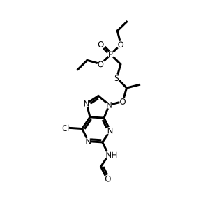 CCOP(=O)(CSC(C)On1cnc2c(Cl)nc(NC=O)nc21)OCC